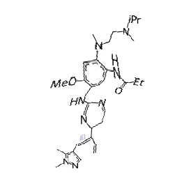 C=C/C(=C\c1cnn(C)c1C)C1CC=NC(Nc2cc(NC(=O)CC)c(N(C)CCN(C)C(C)C)cc2OC)=N1